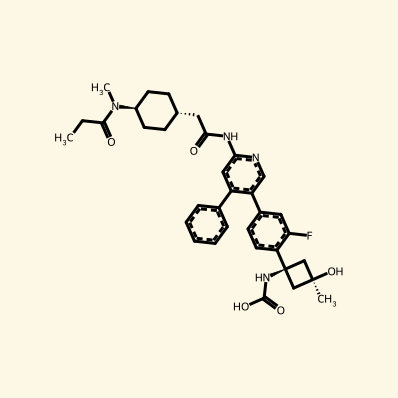 CCC(=O)N(C)[C@H]1CC[C@H](CC(=O)Nc2cc(-c3ccccc3)c(-c3ccc([C@]4(NC(=O)O)C[C@@](C)(O)C4)c(F)c3)cn2)CC1